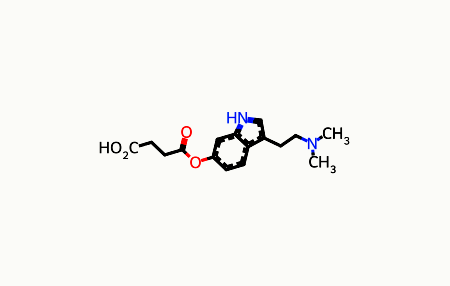 CN(C)CCc1c[nH]c2cc(OC(=O)CCC(=O)O)ccc12